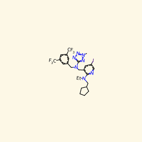 CCN(CC1CCCC1)c1ncc(I)cc1CN(Cc1cc(C(F)(F)F)cc(C(F)(F)F)c1)c1nnn(C)n1